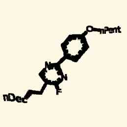 CCCCCCCCCCCCc1cnc(-c2ccc(OCCCCC)cc2)nc1F